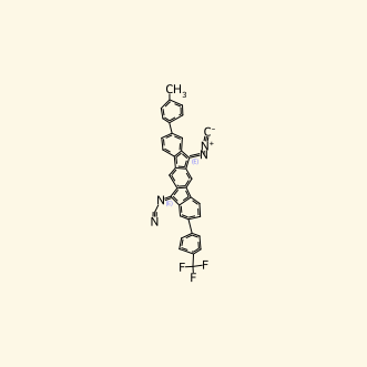 [C-]#[N+]/N=c1\c2cc(-c3ccc(C)cc3)ccc2c2cc3/c(=N/C#N)c4cc(-c5ccc(C(F)(F)F)cc5)ccc4c3cc12